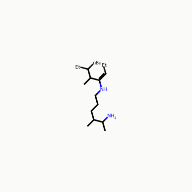 CC/C=C(/NCCCC(C)C(C)N)C(C)C(CC)CCCC